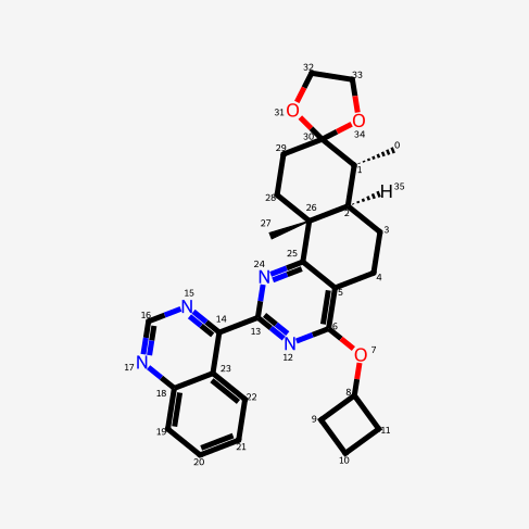 C[C@@H]1[C@H]2CCc3c(OC4CCC4)nc(-c4ncnc5ccccc45)nc3[C@]2(C)CCC12OCCO2